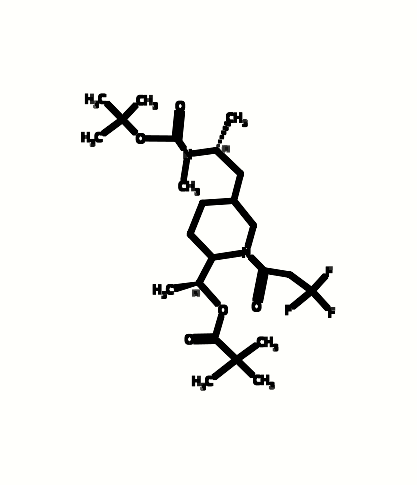 C[C@H](OC(=O)C(C)(C)C)C1CCC(C[C@@H](C)N(C)C(=O)OC(C)(C)C)CN1C(=O)CC(F)(F)F